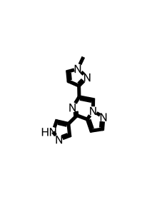 Cn1ccc(-c2cn3nccc3c(-c3cn[nH]c3)n2)n1